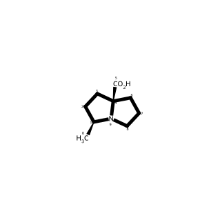 C[C@H]1CC[C@]2(C(=O)O)CCCN12